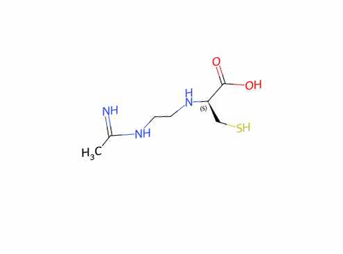 CC(=N)NCCN[C@H](CS)C(=O)O